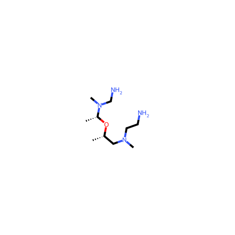 C[C@@H](CN(C)CCN)O[C@H](C)N(C)CN